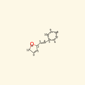 C1=CC(C=Cc2ccccc2)OC1